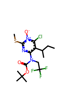 CCC(C)c1c(N(CC(F)(F)F)C(=O)OC(C)(C)C)nc(SC)[n+]([O-])c1Cl